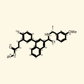 CCC(N[C@H](C)c1cccc(OC)c1)c1cc(-c2ccc(F)c(CCC(=O)OC(C)C)c2)c2ccccc2c1